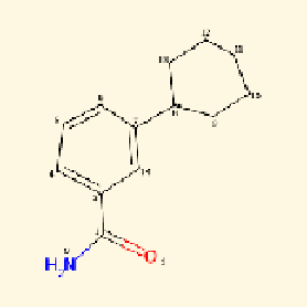 NC(=O)c1cccc([C]2CCCCC2)c1